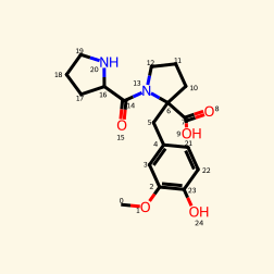 COc1cc(CC2(C(=O)O)CCCN2C(=O)C2CCCN2)ccc1O